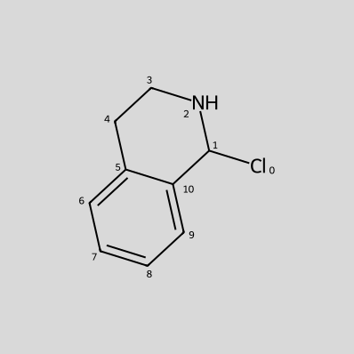 ClC1NCCc2ccccc21